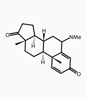 CNC1C[C@@H]2[C@H](CC[C@]3(C)C(=O)CC[C@@H]23)[C@@]2(C)C=CC(=O)C=C12